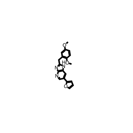 COc1ccc(OC)c(Cc2nc3ncc(-c4ccco4)cc3[nH]2)c1